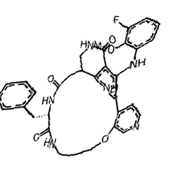 COc1c(F)cccc1Nc1c2[nH]c3c1C(=O)NCC3CC(=O)N[C@@H](Cc1ccccc1)C(=O)NCCCOc1cnccc1-2